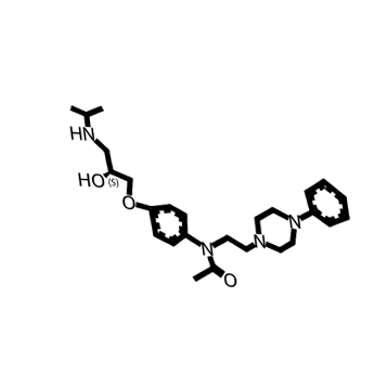 CC(=O)N(CCN1CCN(c2ccccc2)CC1)c1ccc(OC[C@@H](O)CNC(C)C)cc1